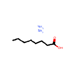 CCCCCCCC(=O)O.N.N